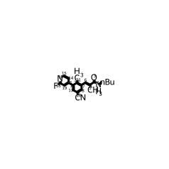 CCCCNC(=O)/C(C)=C/c1cc(C#N)cc(-c2ccnc(F)c2)c1C